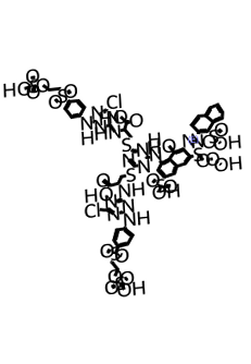 O=C(O)C(CSc1nc(Nc2cc(S(=O)(=O)O)cc3cc(SOOO)c(/N=N/c4ccc5ccccc5c4S(=O)(=O)O)c(O)c23)nc(SCC(Nc2nc(Cl)nc(Nc3ccc(S(=O)(=O)CCOS(=O)(=O)O)cc3)n2)C(=O)O)n1)Nc1nc(Cl)nc(Nc2ccc(S(=O)(=O)CCOS(=O)(=O)O)cc2)n1